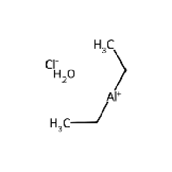 C[CH2][Al+][CH2]C.O.[Cl-]